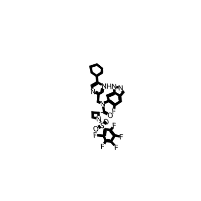 O=C([C@H]1CCN1S(=O)(=O)c1c(F)c(F)c(F)c(F)c1F)N(Cc1cnc(C2CCCCC2)cn1)c1cc2[nH]ncc2cc1F